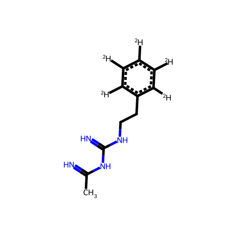 [2H]c1c([2H])c([2H])c(CCNC(=N)NC(C)=N)c([2H])c1[2H]